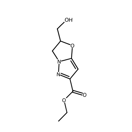 CCOC(=O)c1cc2n(n1)CC(CO)O2